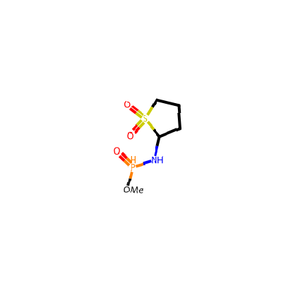 CO[PH](=O)NC1CCCS1(=O)=O